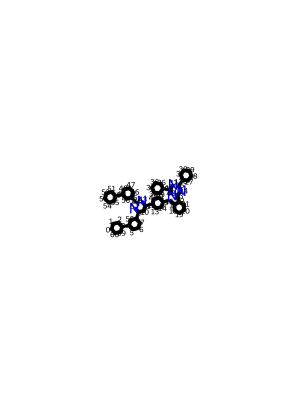 c1ccc(-c2cccc(-c3cc(-c4ccc(-c5c6ccccc6c6nc(-c7ccccc7)nc(-c7ccccc7)n56)cc4)nc(-c4cccc(-c5ccccc5)c4)n3)c2)cc1